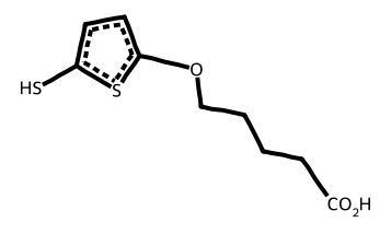 O=C(O)CCCCOc1ccc(S)s1